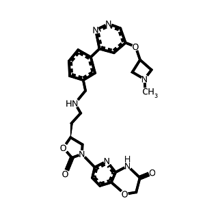 CN1CC(Oc2cnnc(-c3cccc(CNCC[C@H]4CN(c5ccc6c(n5)NC(=O)CO6)C(=O)O4)c3)c2)C1